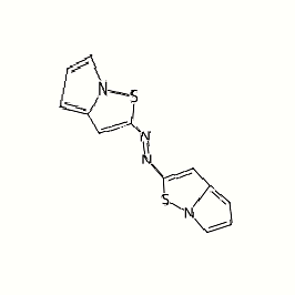 c1cc2cc(N=Nc3cc4cccn4s3)sn2c1